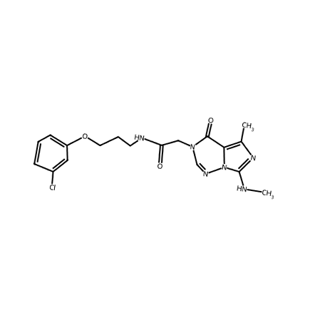 CNc1nc(C)c2c(=O)n(CC(=O)NCCCOc3cccc(Cl)c3)cnn12